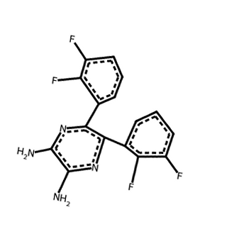 Nc1nc(-c2cccc(F)c2F)c(-c2cccc(F)c2F)nc1N